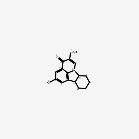 O=C(O)c1cn2c3c(cc(Cl)cc3c1=O)C1CCCCC12